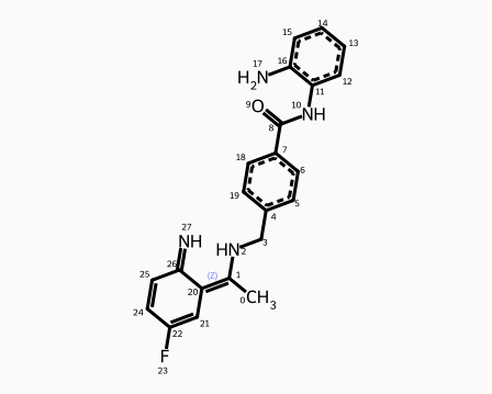 C/C(NCc1ccc(C(=O)Nc2ccccc2N)cc1)=C1\C=C(F)C=CC1=N